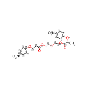 CC(Oc1ccc([N+](=O)[O-])cc1)C(=O)OCCOCCOC(=O)CCOc1ccc([N+](=O)[O-])cc1